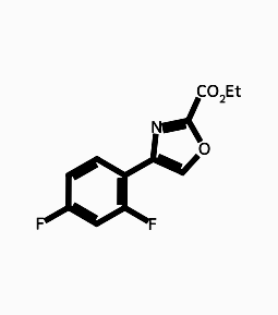 CCOC(=O)c1nc(-c2ccc(F)cc2F)co1